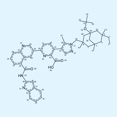 CCC1(C)CC2(C)CC(C)(Cn3ncc(-c4ccc(-c5cnc6cccc(C(=O)Nc7nc8ccccc8s7)c6c5)nc4C(=O)O)c3C)CC(OC(C)(C)C)(C1)C2